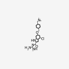 CNC(N)=NC(=O)c1cc2c(Cl)cc(OCc3ccc(CN(C)C)cc3)cc2[nH]1